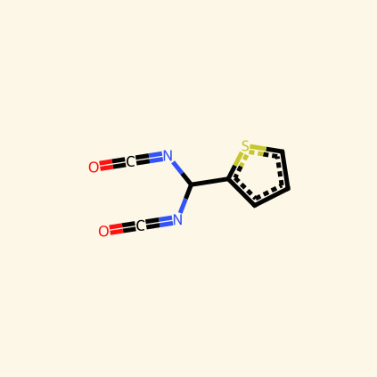 O=C=NC(N=C=O)c1cccs1